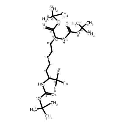 CC(C)(C)OC(=O)NC(CCSCC[C@H](NC(=O)OC(C)(C)C)C(=O)OC(C)(C)C)C(F)(F)F